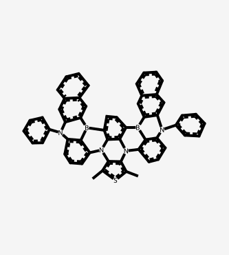 Cc1sc(C)c2c1N1c3cccc4c3B(c3cc5ccccc5cc3N4c3ccccc3)c3ccc4c(c31)N2c1cccc2c1B4c1cc3ccccc3cc1N2c1ccccc1